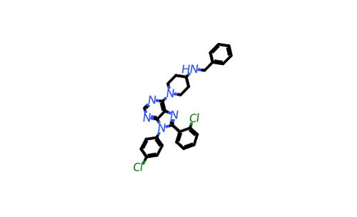 Clc1ccc(-n2c(-c3ccccc3Cl)nc3c(N4CCC(NCc5ccccc5)CC4)ncnc32)cc1